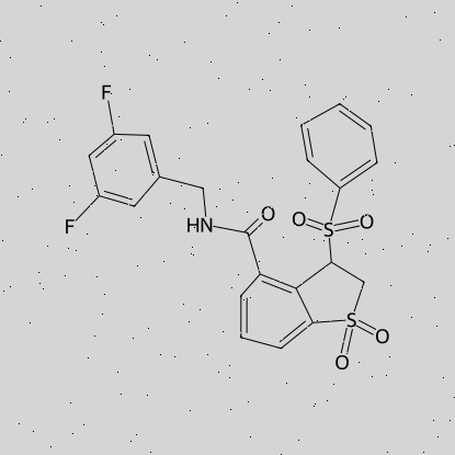 O=C(NCc1cc(F)cc(F)c1)c1cccc2c1C(S(=O)(=O)c1ccccc1)CS2(=O)=O